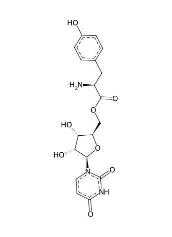 N[C@@H](Cc1ccc(O)cc1)C(=O)OC[C@H]1O[C@@H](n2ccc(=O)[nH]c2=O)[C@H](O)[C@@H]1O